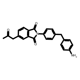 CC(=O)Cc1ccc2c(c1)C(=O)N(c1ccc(Cc3ccc(N)cc3)cc1)C2=O